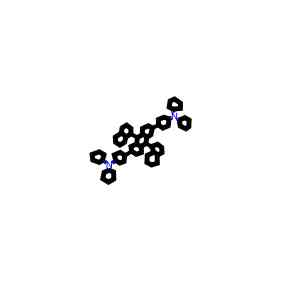 c1ccc(N(c2ccccc2)c2ccc(-c3ccc4c(-c5cccc6ccccc56)c5cc(-c6ccc(N(c7ccccc7)c7ccccc7)cc6)ccc5c(-c5cccc6ccccc56)c4c3)cc2)cc1